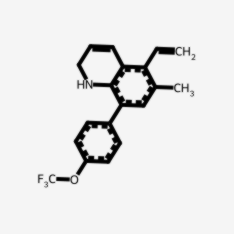 C=Cc1c(C)cc(-c2ccc(OC(F)(F)F)cc2)c2c1C=CCN2